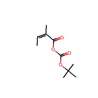 CC=C(C)C(=O)OC(=O)OC(C)(C)C